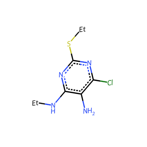 CCNc1nc(SCC)nc(Cl)c1N